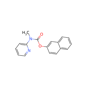 CN(C(=O)Oc1ccc2ccccc2c1)c1ccccn1